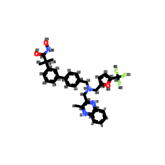 Cc1nc2ccccc2nc1CN(Cc1ccc(-c2cccc(C(C)(C)C(=O)N=O)c2)cc1)Cc1ccc(C(F)(F)F)o1